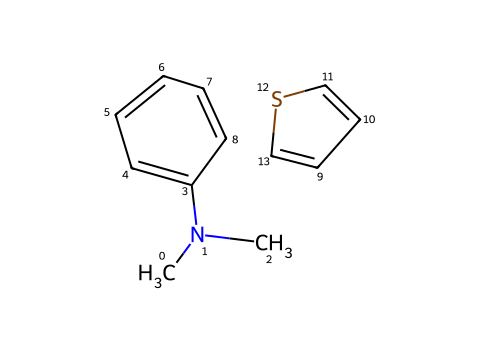 CN(C)c1ccccc1.c1ccsc1